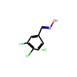 Cl.ON=Cc1ccc(Cl)c(F)c1